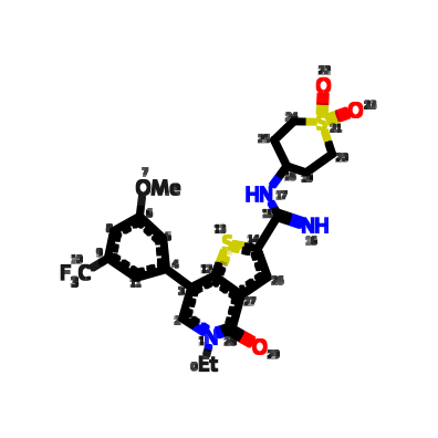 CCn1cc(-c2cc(OC)cc(C(F)(F)F)c2)c2sc(C(=N)NC3CCS(=O)(=O)CC3)cc2c1=O